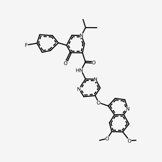 COc1cc2nccc(Oc3cnc(NC(=O)c4cn(C(C)C)cc(-c5ccc(F)cc5)c4=O)nc3)c2cc1OC